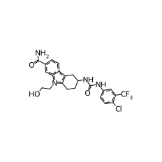 NC(=O)c1ccc2c3c(n(CCO)c2c1)CCC(NC(=O)Nc1ccc(Cl)c(C(F)(F)F)c1)C3